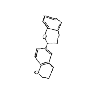 [c]1ccc2c(c1)OC(c1ccc3c(c1)CCCO3)CC2